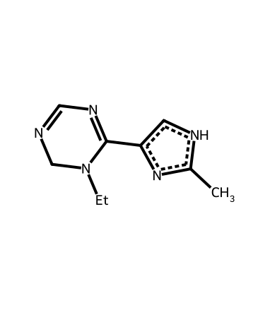 CCN1CN=CN=C1c1c[nH]c(C)n1